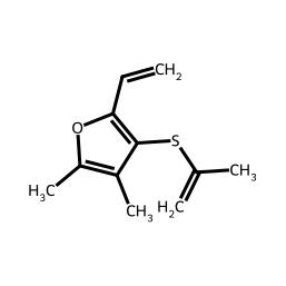 C=Cc1oc(C)c(C)c1SC(=C)C